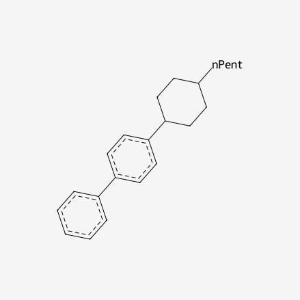 CCCCCC1CCC(c2ccc(-c3ccccc3)cc2)CC1